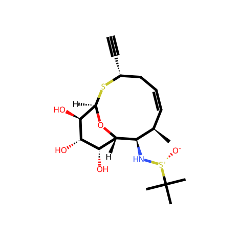 C#C[C@@H]1C/C=C\[C@@H](C)[C@@H](N[S@+]([O-])C(C)(C)C)[C@H]2O[C@H](S1)[C@H](O)[C@@H](O)[C@H]2O